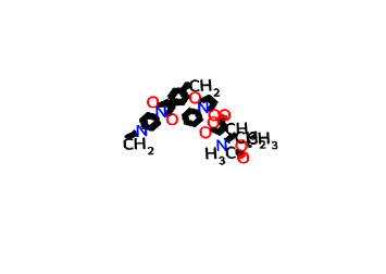 C=C(C)C#N.C=CC#N.C=Cc1ccccc1.CCOC(C)=O.O=C1C=CC(=O)N1C1CCCCC1.O=C1C=CC(=O)N1c1ccccc1.O=C1C=CC(=O)O1